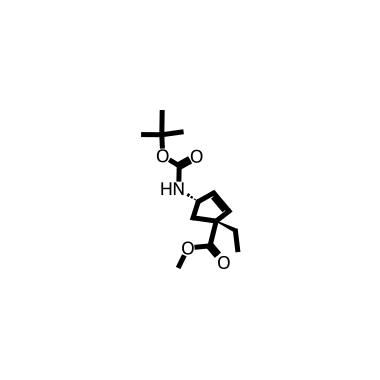 CC[C@]1(C(=O)OC)C=C[C@@H](NC(=O)OC(C)(C)C)C1